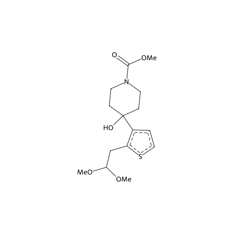 COC(=O)N1CCC(O)(c2ccsc2CC(OC)OC)CC1